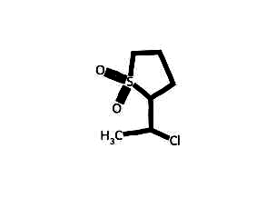 CC(Cl)C1CCCS1(=O)=O